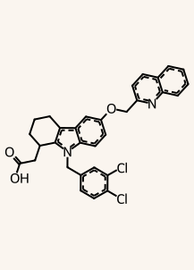 O=C(O)CC1CCCc2c1n(Cc1ccc(Cl)c(Cl)c1)c1ccc(OCc3ccc4ccccc4n3)cc21